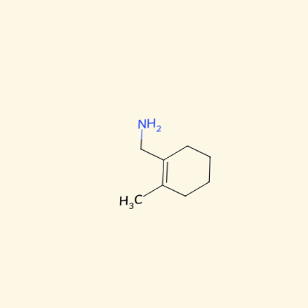 CC1=C(CN)CCCC1